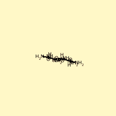 NCCCCC(N)C(=O)NCCCCC(N)C(=O)Nc1ccc(NC(=O)C(N)CCCCNC(=O)C(N)CCCCN)cc1